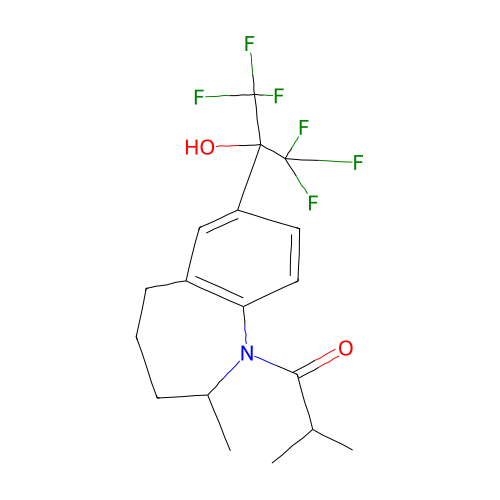 CC(C)C(=O)N1c2ccc(C(O)(C(F)(F)F)C(F)(F)F)cc2CCCC1C